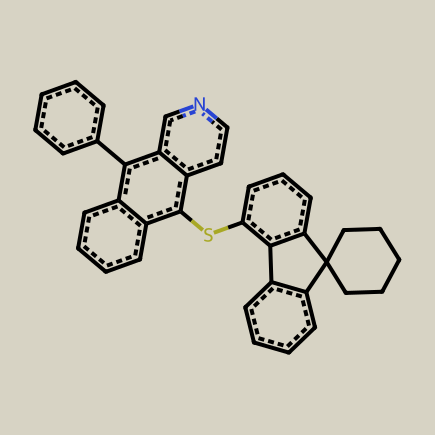 c1ccc(-c2c3ccccc3c(Sc3cccc4c3-c3ccccc3C43CCCCC3)c3ccncc23)cc1